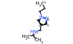 CCCn1cc(CNC(C)C)cn1